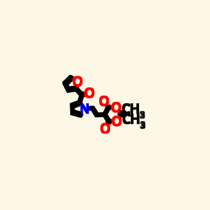 CC1(C)OC(=O)C(CCn2cccc2C(=O)c2ccco2)C(=O)O1